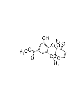 COC(=O)c1cc(O)c2c(c1)OC1(C)OC=CC(=O)C1(O)O2